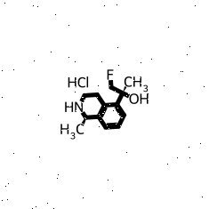 C[C@H]1NCCc2c1cccc2[C@](C)(O)CF.Cl